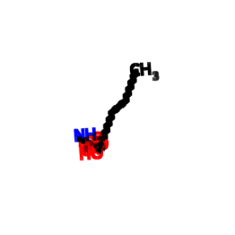 CCCCCCCCCCC#CC#CCCCCCCCCC(=O)O[C@@H](CO)COP(=O)(O)OCCN